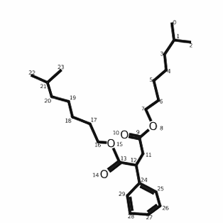 CC(C)CCCCCOC(=O)CC(C(=O)OCCCCCC(C)C)c1ccccc1